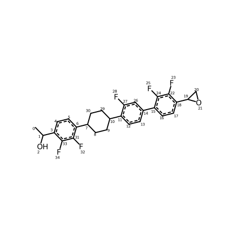 CC(O)c1ccc(C2CCC(c3ccc(-c4ccc(C5CO5)c(F)c4F)cc3F)CC2)c(F)c1F